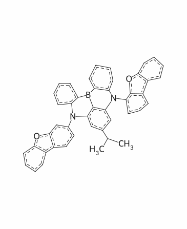 CC(C)c1cc2c3c(c1)N(c1cccc4c1oc1ccccc14)c1ccccc1B3c1ccccc1N2c1ccc2c(c1)oc1ccccc12